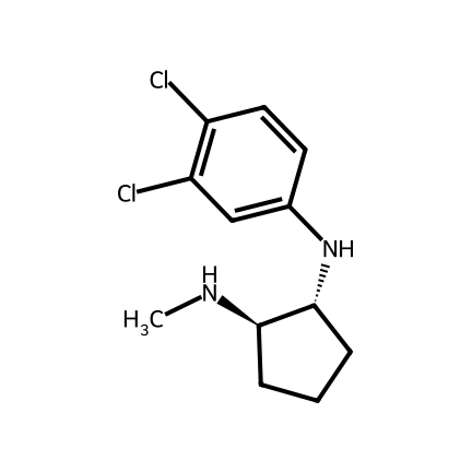 CN[C@@H]1CCC[C@H]1Nc1ccc(Cl)c(Cl)c1